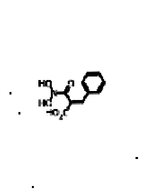 O=C(O)C(=Cc1ccccc1)C(=O)N(O)O